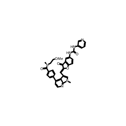 COCCN(C)C(=O)c1ccc(-c2ccnc3c2c(C=C2Oc4ccc(NC(=O)Nc5cccnc5)cc4C2=O)cn3C)cc1